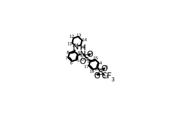 O=S(=O)(Nc1ccccc1N1CCCCC1)c1ccc(S(=O)(=O)C(F)(F)F)cc1